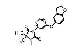 CC1(C)NC(=O)N(c2cc(Oc3ccc4c(c3)CCO4)ncn2)C1=O